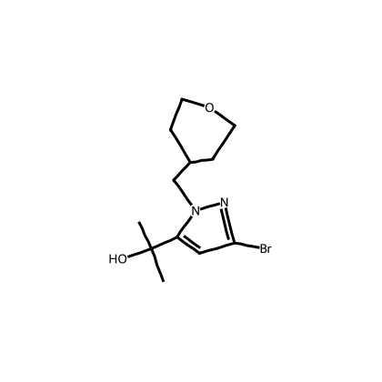 CC(C)(O)c1cc(Br)nn1CC1CCOCC1